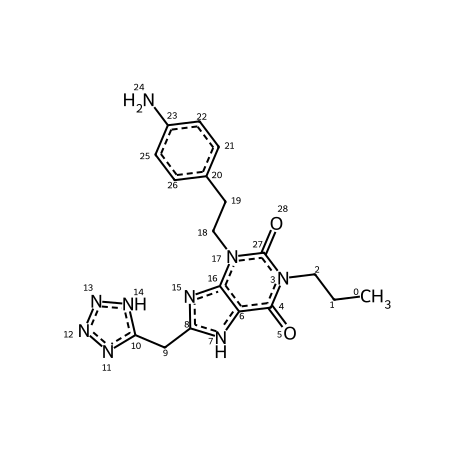 CCCn1c(=O)c2[nH]c(Cc3nnn[nH]3)nc2n(CCc2ccc(N)cc2)c1=O